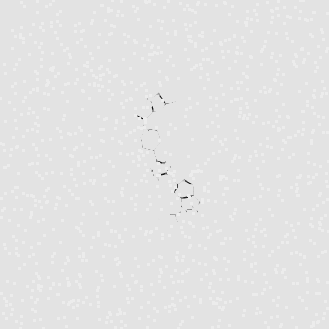 CC(C)n1ncc2ccc(-c3noc(C4CCN(C(=O)c5ncc(Cl)s5)CC4)n3)cc21